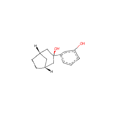 Oc1cccc([C@]2(O)C[C@@H]3CC[C@@H](C3)C2)c1